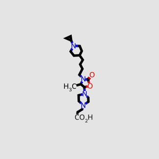 CC1C(N2CCN(CCC(=O)O)CC2)OC(=O)N1CCCCC1CCN(C2CC2)CC1